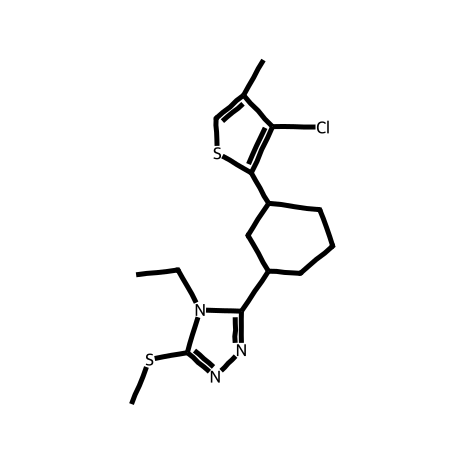 CCn1c(SC)nnc1C1CCCC(c2scc(C)c2Cl)C1